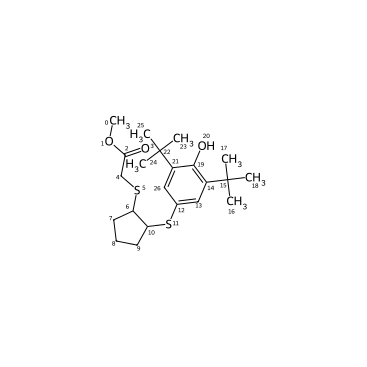 COC(=O)CSC1CCCC1Sc1cc(C(C)(C)C)c(O)c(C(C)(C)C)c1